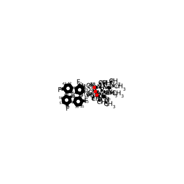 C/N=C(\N(C)C)N(C)[P+](N(C)/C(=N/C)N(C)C)(N(C)/C(=N/C)N(C)C)N(C)/C(=N/C)N(C)C.Fc1cccc([B-](c2cccc(F)c2)(c2cccc(F)c2)c2cccc(F)c2)c1